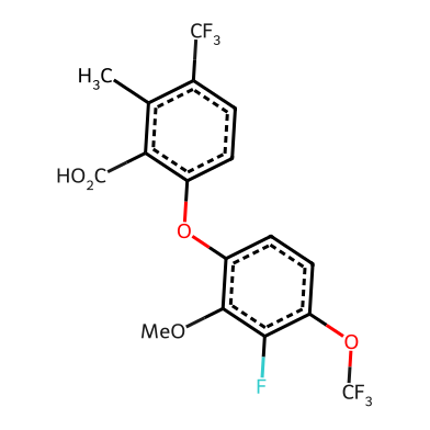 COc1c(Oc2ccc(C(F)(F)F)c(C)c2C(=O)O)ccc(OC(F)(F)F)c1F